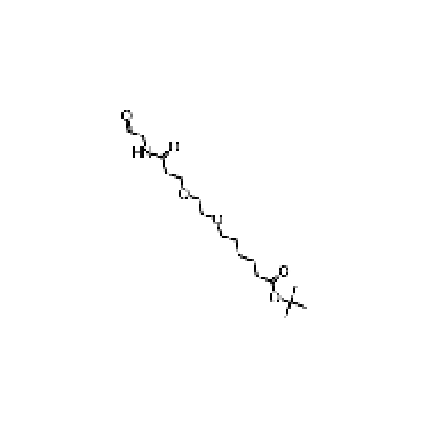 CC(C)(C)OC(=O)CCCCCOCCOCCC(=O)NCC=O